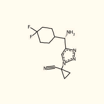 N#CC1(n2cc([C@@H](N)C3CCC(F)(F)CC3)nn2)CC1